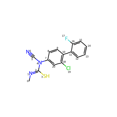 C/N=C(\S)N(C#N)c1ccc(-c2ccccc2F)c(Cl)c1